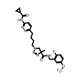 CC1(C(=O)NCc2cc(OC(F)(F)F)ccc2F)CN(CCCCc2ccc(NC(=O)C3CC3)nn2)N=N1